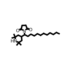 CCCCCCCCCCCC(C1CC(C)(C)NC(C)(C)C1)N1C(=O)CCC1=O